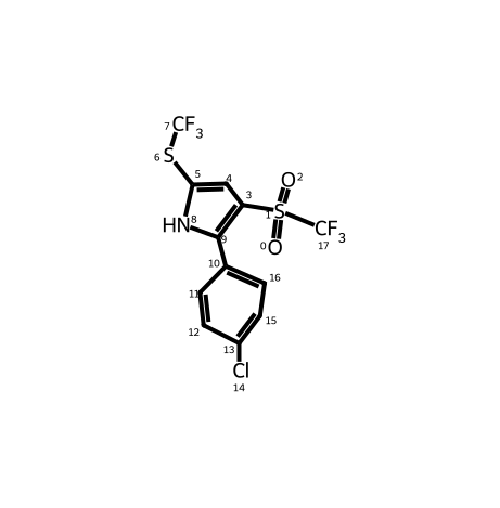 O=S(=O)(c1cc(SC(F)(F)F)[nH]c1-c1ccc(Cl)cc1)C(F)(F)F